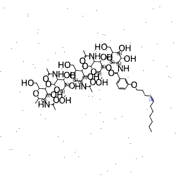 CCCCCC/C=C\CCCOc1cccc(C(=O)N[C@H]2C(O)[C@H](O)C(CO)O[C@H]2O[C@H]2C(O)C(NC(C)=O)C(OC3C(CO)O[C@@H](O[C@H]4C(O)C(NC(C)=O)C(OC5C(CO)OC(C)[C@@H](NC(C)=O)[C@@H]5O)O[C@H]4CO)[C@@H](NC(C)=O)[C@@H]3O)O[C@H]2CO)c1